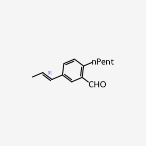 C/C=C/c1ccc(CCCCC)c(C=O)c1